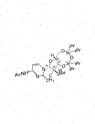 CS[C@]1(C)[C@@H]2O[Si](C(C)C)(C(C)C)O[Si](C(C)C)(C(C)C)OC[C@H]2O[C@H]1n1ccc(NC(C)=O)nc1=O